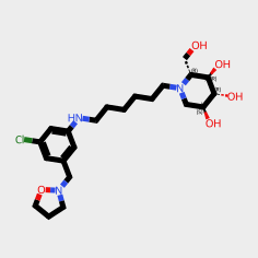 OC[C@@H]1[C@@H](O)[C@H](O)[C@@H](O)CN1CCCCCCNc1cc(Cl)cc(CN2CCCO2)c1